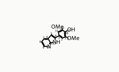 COc1cc(-c2cc3cccnc3[nH]2)cc(OC)c1O